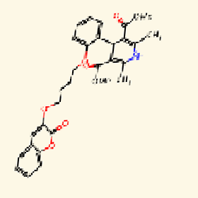 COC(=O)C1=C(C)NC(C)=C(C(=O)OC)C1c1ccccc1OCCCCOc1cc2ccccc2oc1=O